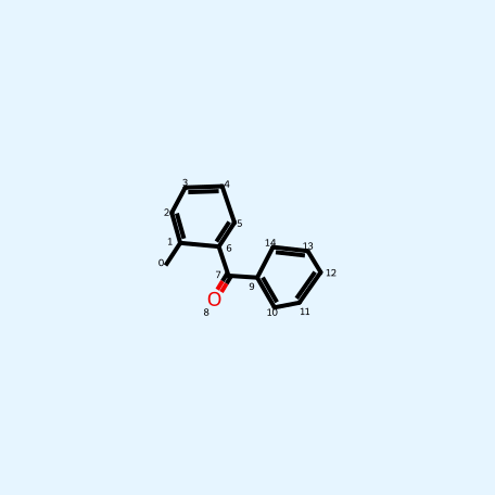 Cc1ccccc1C(=O)c1ccccc1